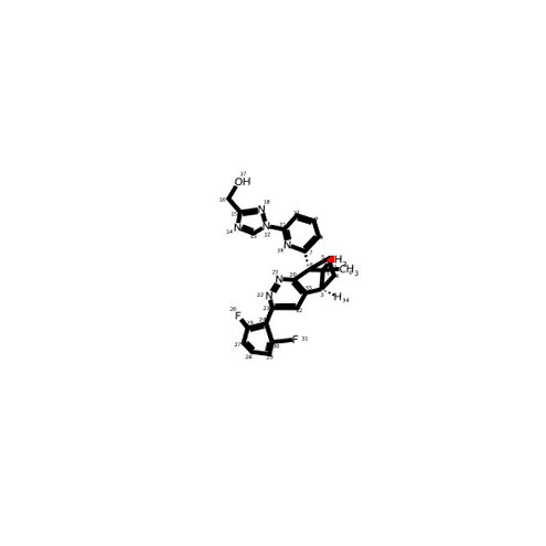 CC1(C)[C@H]2CC[C@]1(c1cccc(-n3cnc(CO)n3)n1)c1nnc(-c3c(F)cccc3F)cc12